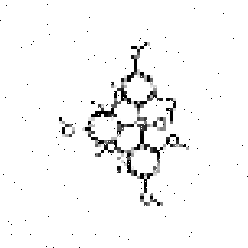 COc1cc(OC)c([Si](Cl)(c2c(OC)cc(OC)cc2OC)c2c(OC)cc(OC)cc2OC)c(OC)c1